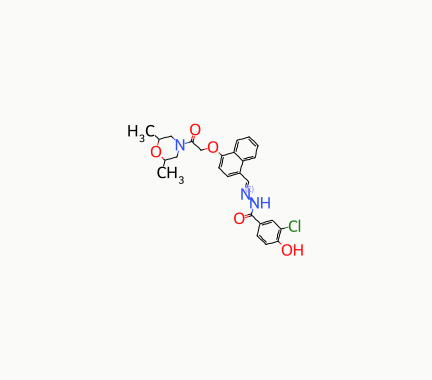 CC1CN(C(=O)COc2ccc(/C=N/NC(=O)c3ccc(O)c(Cl)c3)c3ccccc23)CC(C)O1